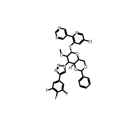 COC1C(n2cc(-c3cc(F)c(F)c(F)c3)nn2)[C@H]2OC(c3ccccc3)OCC2O[C@@H]1Sc1cc(Cl)cnc1-c1cncnc1